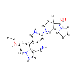 CCOc1cc(-c2ccc(N3CCC(C)(C(O)N4CCCC4)CC3)nc2)c2c(C#N)cnn2c1